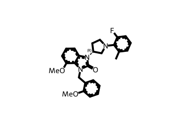 COc1ccccc1Cn1c(=O)n([C@@H]2CCN(c3c(C)cccc3F)C2)c2cccc(OC)c21